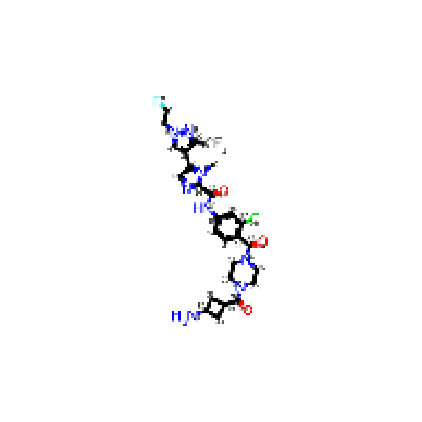 Cn1c(-c2cn(CCF)nc2C(F)(F)F)cnc1C(=O)Nc1ccc(C(=O)N2CCN(C(=O)C3CC(N)C3)CC2)c(Cl)c1